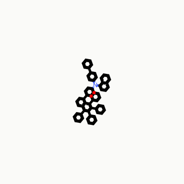 c1ccc(-c2ccc(N(c3ccc(-c4cccc5c(-c6ccccc6)c(-c6ccccc6)c(-c6ccccc6)c(-c6ccccc6)c45)cc3)c3cccc4ccccc34)cc2)cc1